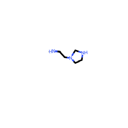 [NH]CCN1CCNC1